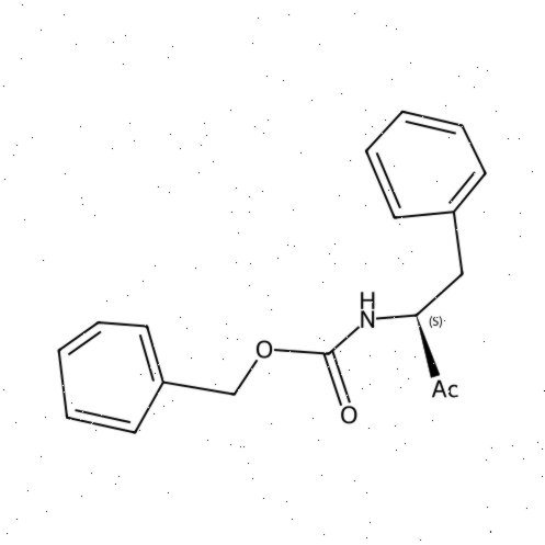 [CH2]C(=O)[C@H](Cc1ccccc1)NC(=O)OCc1ccccc1